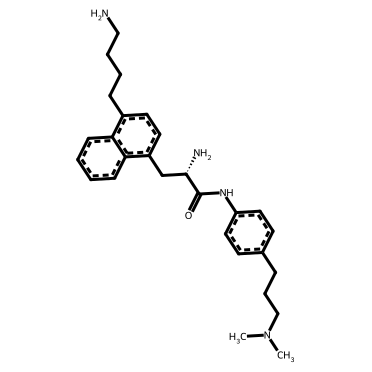 CN(C)CCCc1ccc(NC(=O)[C@@H](N)Cc2ccc(CCCCN)c3ccccc23)cc1